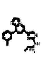 CC[C@@H](C)Nc1ncc(-c2cc(-c3cccc(C)c3)c3nccn3c2)s1